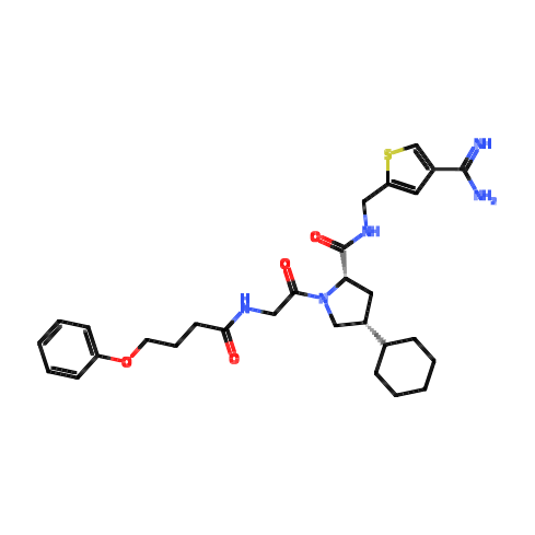 N=C(N)c1csc(CNC(=O)[C@@H]2C[C@H](C3CCCCC3)CN2C(=O)CNC(=O)CCCOc2ccccc2)c1